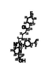 C=C(C)c1ccc(-n2c(CCCCC(=O)Cc3ccc(F)cc3)nc3ccc(C(C)(C)O)nc32)cc1